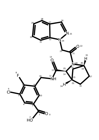 O=C(O)c1cc(Cl)c(F)c(CNC(=O)[C@@H]2[C@H]3CC[C@H](C3)N2C(=O)Cn2ncc3ccccc32)c1